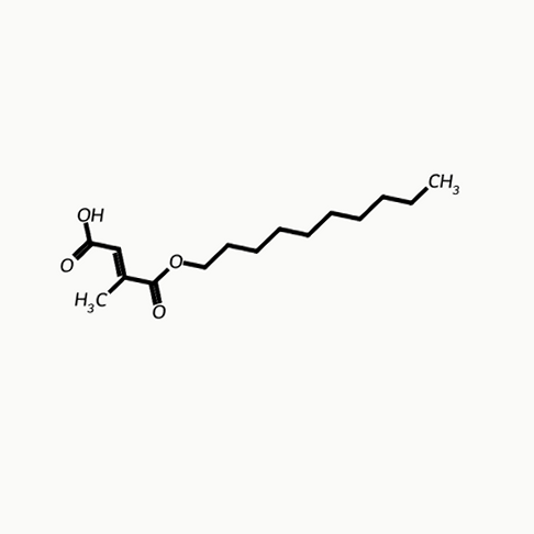 CCCCCCCCCCOC(=O)C(C)=CC(=O)O